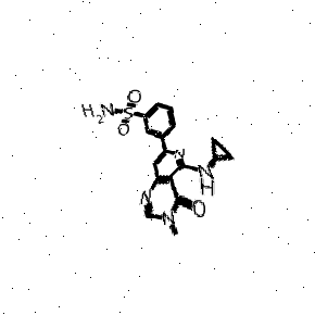 Cn1cnc2cc(-c3cccc(S(N)(=O)=O)c3)nc(NC3CC3)c2c1=O